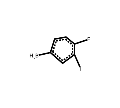 Bc1ccc(F)c(I)c1